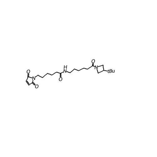 CC(C)(C)C1CN(C(=O)CCCCCNC(=O)CCCCCN2C(=O)C=CC2=O)C1